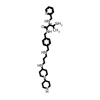 CC([SiH3])[C@H](NCc1ccccn1)C(=O)NCc1ccc(CNCCCNC2CCN(C3CCNCC3)CC2)cc1